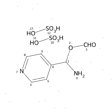 NC(OC=O)c1ccncc1.O=S(=O)(O)O.O=S(=O)(O)O